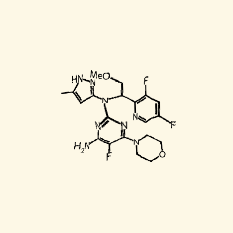 COCC(c1ncc(F)cc1F)N(c1cc(C)[nH]n1)c1nc(N)c(F)c(N2CCOCC2)n1